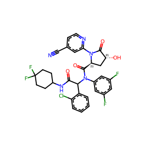 N#Cc1ccnc(N2C(=O)[C@H](O)C[C@H]2C(=O)N(c2cc(F)cc(F)c2)C(C(=O)NC2CCC(F)(F)CC2)c2ccccc2Cl)c1